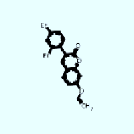 C=COc1ccc2cc(-c3ccc(CC)cc3CC)c(=O)oc2c1